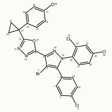 Clc1ccc(-c2c(Br)c(-c3nnc(C4(c5ccc(Cl)cc5)CC4)o3)nn2-c2ccc(Cl)cc2Cl)cc1